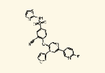 N#Cc1cc(S(=O)(=O)Nc2nccs2)ccc1Oc1cnc(-c2ccc(F)nc2)cc1-c1ccoc1